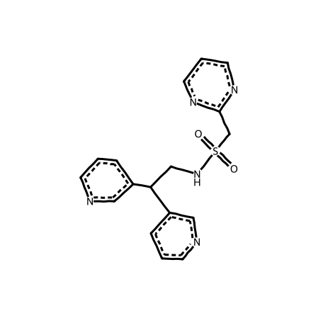 O=S(=O)(Cc1ncccn1)NCC(c1cccnc1)c1cccnc1